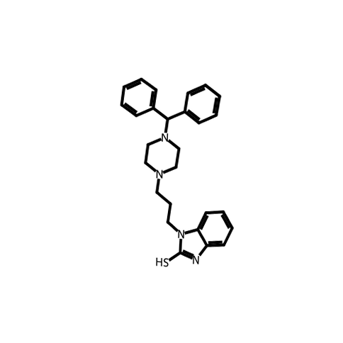 Sc1nc2ccccc2n1CCCN1CCN(C(c2ccccc2)c2ccccc2)CC1